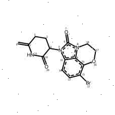 C=C1CCC(n2c(=O)n3c4c(c(Br)ccc42)OCC3)C(=O)N1